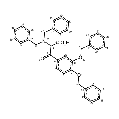 O=C(O)C(C(=O)c1ccc(OCc2ccccc2)c(OCc2ccccc2)c1)N(Cc1ccccc1)Cc1ccccc1